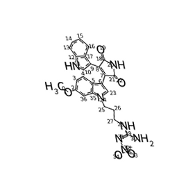 COc1ccc2c(C3=C(c4c[nH]c5ccccc45)C(=O)NC3=O)cn(CCCNC(N)=N[N+](=O)[O-])c2c1